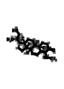 CNC1=C2C=C[C@H]3[C@@H]4CC[C@H]([C@H](C)CO)[C@@]4(C)CC[C@@H]3[C@@]2(C)CCC1=O